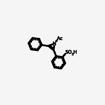 CC(=O)N1C(c2ccccc2)=C1c1ccccc1S(=O)(=O)O